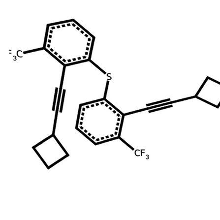 FC(F)(F)c1cccc(Sc2cccc(C(F)(F)F)c2C#CC2CCC2)c1C#CC1CCC1